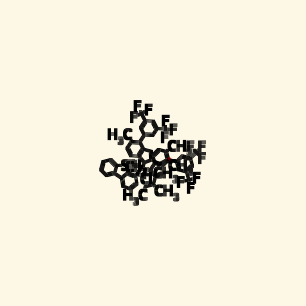 CCC(C)C1=Cc2c(ccc(C)c2-c2cc(C(F)(F)F)cc(C(F)(F)F)c2)[CH]1[Zr]([Cl])([Cl])([c]1cccc2c1[SiH2]c1ccccc1-2)[CH]1C(C(C)CC)=Cc2c1ccc(C)c2-c1cc(C(F)(F)F)cc(C(F)(F)F)c1